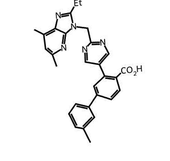 CCc1nc2c(C)cc(C)nc2n1Cc1ncc(-c2cc(-c3cccc(C)c3)ccc2C(=O)O)cn1